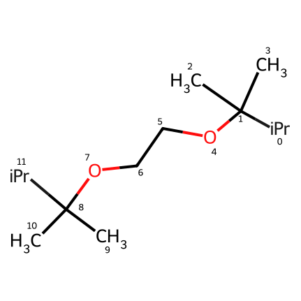 CC(C)C(C)(C)OCCOC(C)(C)C(C)C